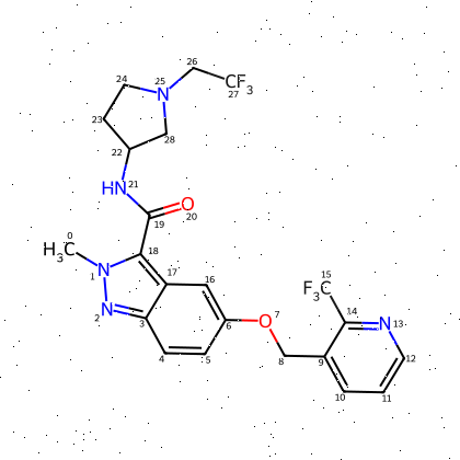 Cn1nc2ccc(OCc3cccnc3C(F)(F)F)cc2c1C(=O)NC1CCN(CC(F)(F)F)C1